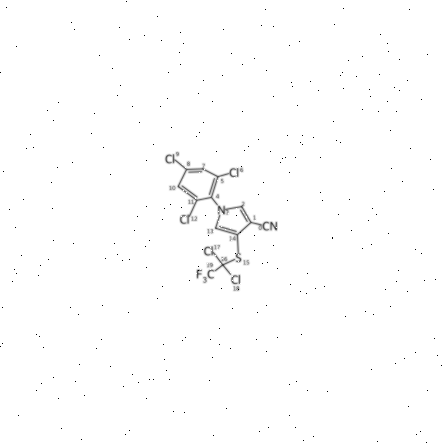 N#Cc1cn(-c2c(Cl)cc(Cl)cc2Cl)cc1SC(Cl)(Cl)C(F)(F)F